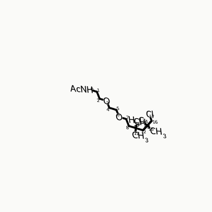 CC(=O)NCCOCCOCCC(C)(C)CC(C)(C)CCl